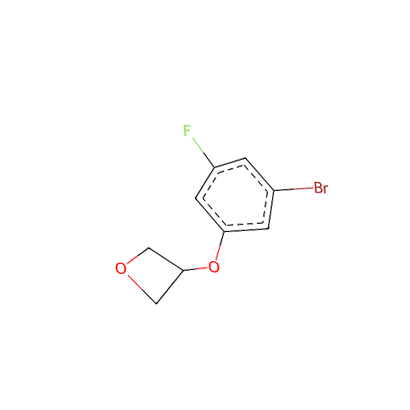 Fc1cc(Br)cc(OC2COC2)c1